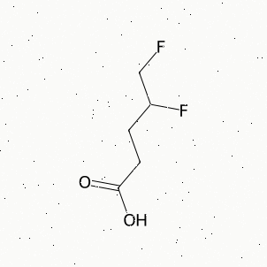 O=C(O)CCC(F)CF